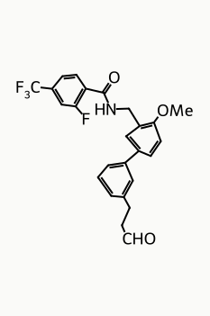 COc1ccc(-c2cccc(CCC=O)c2)cc1CNC(=O)c1ccc(C(F)(F)F)cc1F